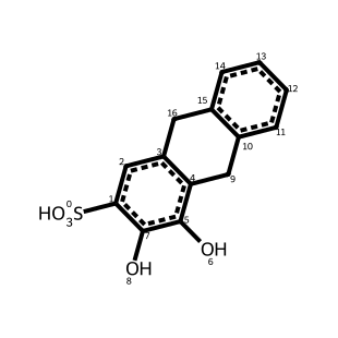 O=S(=O)(O)c1cc2c(c(O)c1O)Cc1ccccc1C2